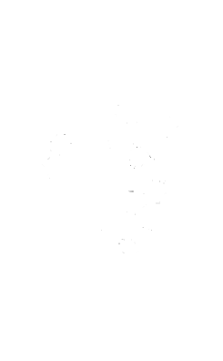 C1=CC2Oc3ccccc3C2C(c2nc(C3=CCC(c4cccc5ccccc45)C=C3)nc(-c3cccc4c(C5=CCCc6oc7ccccc7c65)cccc34)n2)=C1